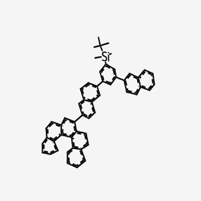 CC(C)(C)[Si](C)(C)c1cc(-c2ccc3ccccc3c2)cc(-c2ccc3cc(-c4cc5ccc6ccccc6c5c5c4ccc4ccccc45)ccc3c2)c1